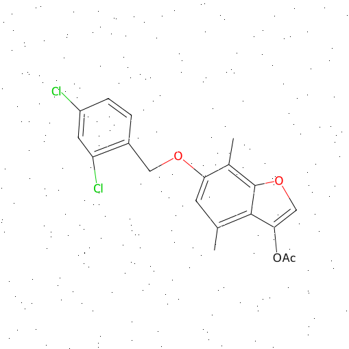 CC(=O)Oc1coc2c(C)c(OCc3ccc(Cl)cc3Cl)cc(C)c12